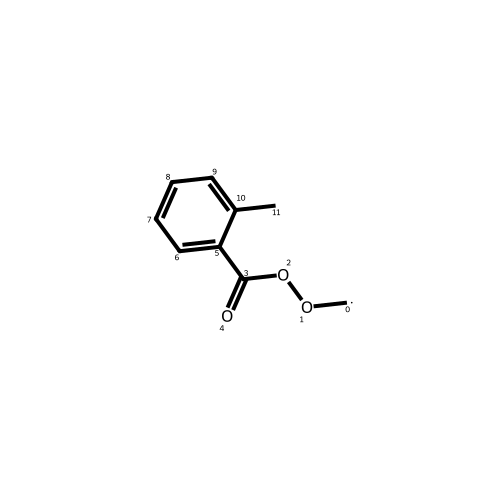 [CH2]OOC(=O)c1ccccc1C